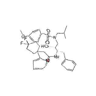 COc1ccc(S(=O)(=O)N(CC(C)C)C[C@@H](O)[C@H](Cc2ccccc2)NC(=O)CC2(c3ccccn3)CCC(F)(F)CC2)cc1